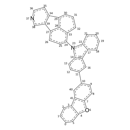 c1ccc2c(c1)oc1ccc(-c3ccc4c(c3)c3ccccc3n4-c3ccc4c5c(cccc35)-c3ccncc3-4)cc12